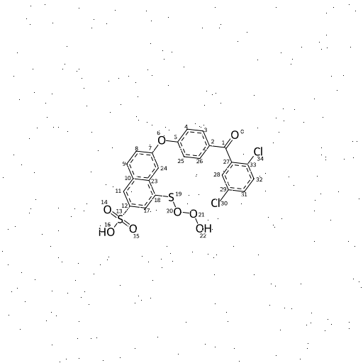 O=C(c1ccc(Oc2ccc3cc(S(=O)(=O)O)cc(SOOO)c3c2)cc1)c1cc(Cl)ccc1Cl